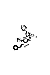 CC(C)C[C@@H](C(=O)NN(CCN1CCOCC1)S(C)(=O)=O)[C@H](CC=Cc1ccccc1)C(=O)NO